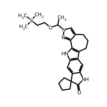 CC(OCC[Si](C)(C)C)n1cc2c(n1)-c1[nH]c3cc4c(cc3c1CCC2)NC(=O)C41CCCC1